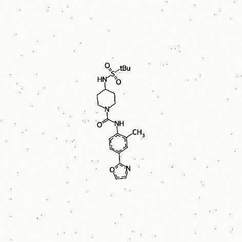 Cc1cc(-c2ncco2)ccc1NC(=O)N1CCC(NS(=O)(=O)C(C)(C)C)CC1